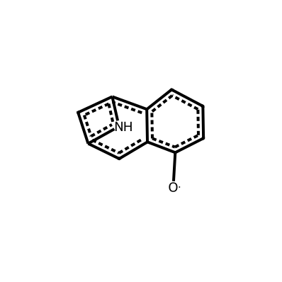 [O]c1cccc2c3cc(cc12)[nH]3